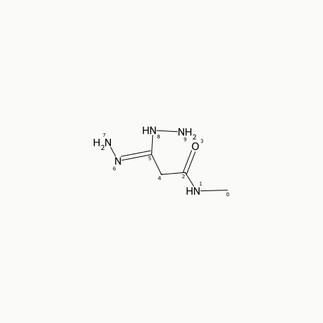 CNC(=O)C/C(=N/N)NN